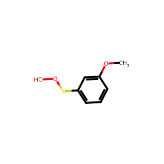 COc1cccc(SOO)c1